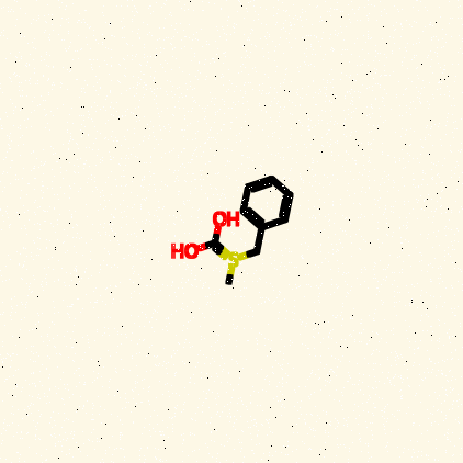 CS(Cc1ccccc1)=C(O)O